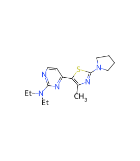 CCN(CC)c1nccc(-c2sc(N3CCCC3)nc2C)n1